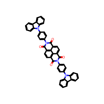 O=C1c2ccc3c4c(ccc(c24)C(=O)N1c1ccc(-n2c4ccccc4c4ccccc42)cc1)C(=O)N(c1ccc(-n2c4ccccc4c4ccccc42)cc1)C3=O